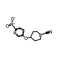 N#CB1CCC(Oc2ccc([N+](=O)[O-])nc2)CC1